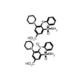 NS(=O)(=O)c1cc(C(=O)O)cc(N2CCCCC2)c1Sc1ccccc1.NS(=O)(=O)c1cc(C(=O)O)cc(N2CCCCC2)c1[S+]([O-])c1ccccc1